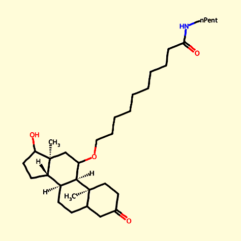 CCCCCNC(=O)CCCCCCCCCOC1C[C@]2(C)C(O)CC[C@H]2[C@@H]2CCC3CC(=O)CC[C@]3(C)[C@H]12